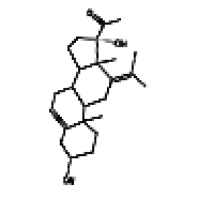 CC(=O)[C@]1(O)CCC2C3CC=C4CC(O)CCC4(C)C3CC(=C(C)C)C21C